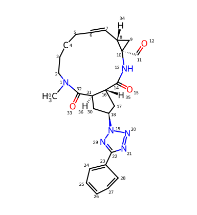 CN1CCCC/C=C\[C@@H]2C[C@@]2(C=O)NC(=O)[C@@H]2C[C@@H](n3nnc(-c4ccccc4)n3)C[C@H]2C1=O